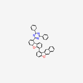 C1=CCC(c2nc(C3=CC=CC4Oc5c(-c6cccc7oc8cc9ccccc9cc8c67)cccc5C34)nc(-c3ccccc3)n2)C=C1